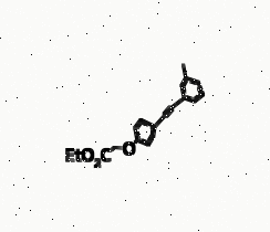 CCOC(=O)COc1ccc(C#Cc2cccc(C)c2)cc1